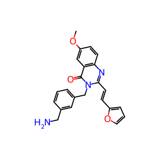 COc1ccc2nc(/C=C/c3ccco3)n(Cc3cccc(CN)c3)c(=O)c2c1